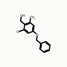 Cc1cc(OCc2ccccc2)cc(Cl)c1CO